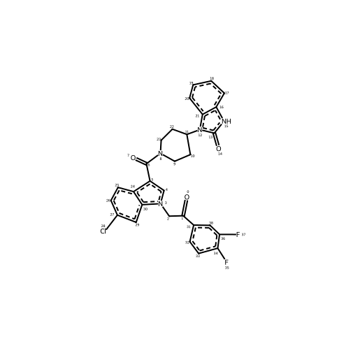 O=C(Cn1cc(C(=O)N2CCC(n3c(=O)[nH]c4ccccc43)CC2)c2ccc(Cl)cc21)c1ccc(F)c(F)c1